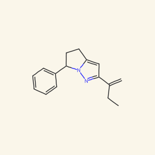 C=C(CC)c1cc2n(n1)C(c1ccccc1)CC2